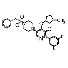 CC1CCC(Oc2c(N3CCN(S(=O)(=O)Cc4ccccc4)CC3)cnn(-c3cc(F)cc(F)c3)c2=O)C1